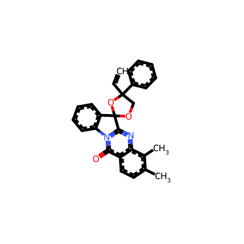 C=CC1(c2ccccc2)COC2(O1)c1ccccc1-n1c2nc2c(C)c(C)ccc2c1=O